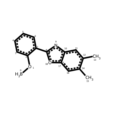 BOc1ccccc1-c1nc2cc(C)c(C)cc2o1